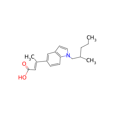 CCCC(C)Cn1ccc2cc(/C(C)=C/C(=O)O)ccc21